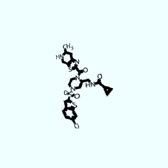 CC1Cc2nc(C(=O)N3CCN(S(=O)(=O)c4cc5ccc(Cl)cc5s4)CC3CNC(=O)C3CC3)sc2CN1